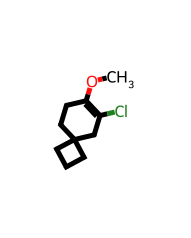 COC1=C(Cl)CC2(CCC2)CC1